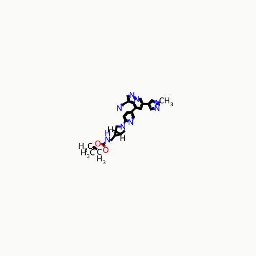 Cn1cc(-c2cc(-c3ccc(N4C[C@@H]5C(CNC(=O)OC(C)(C)C)[C@@H]5C4)nc3)c3c(C#N)cnn3c2)cn1